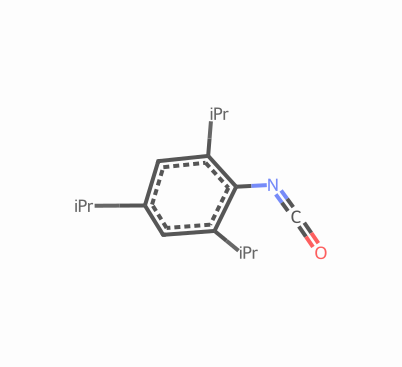 CC(C)c1cc(C(C)C)c(N=C=O)c(C(C)C)c1